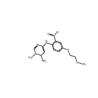 COCCOc1ccc(NC2=CC(N)N(C)C=N2)c([N+](=O)[O-])c1